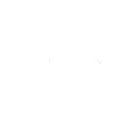 Cc1cc(B2OC(C)(C)C(C)(C)O2)cc([N+](=O)[O-])c1